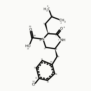 CC(C)C[C@H]1C(=O)N[C@@H](Cc2ccc(Cl)cc2)CN1C(=O)O